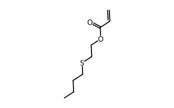 C=CC(=O)OCCSCCCC